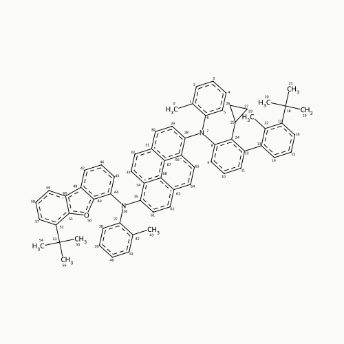 Cc1ccccc1N(c1cccc(-c2cccc(C(C)(C)C)c2C)c1C1CC1)c1ccc2ccc3c(N(c4ccccc4C)c4cccc5c4oc4c(C(C)(C)C)cccc45)ccc4ccc1c2c43